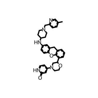 Cc1ccc(CN2CCC(Nc3ccc4c(c3)Cc3cccc(C5CN(c6cc[nH]c(=O)c6)CCO5)c3O4)CC2)nc1